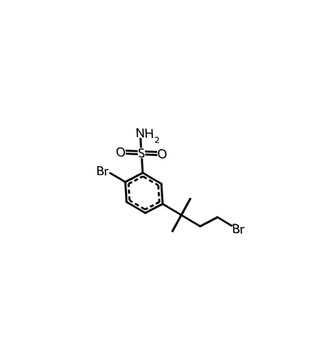 CC(C)(CCBr)c1ccc(Br)c(S(N)(=O)=O)c1